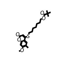 COc1cc2oc(=O)cc(SCCCCCCCOC(=O)C(C)(C)C)c2cc1C